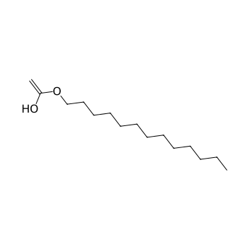 C=C(O)OCCCCCCCCCCCCC